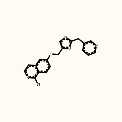 Clc1nccc2cc(OCc3cnc(Cc4cccnc4)o3)ccc12